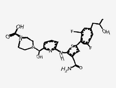 CC(O)Cc1cc(F)c(-c2cc(C(N)=O)c(Nc3cccc(C(O)N4CCN(C(=O)O)CC4)n3)s2)c(F)c1